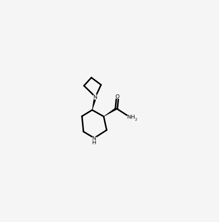 NC(=O)[C@H]1CNCC[C@H]1N1CCC1